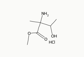 COC(=O)C(C)(N)C(C)O.Cl